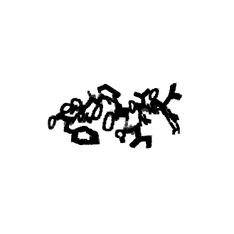 C=C(CC)[C@@H]([C@@H](CC(=O)N1CCC[C@H]1[C@H](OC)[C@@H](C)C(=O)N[C@@H](Cc1ccccc1)C(=O)O)OC)N(C)C(=O)[C@@H](NC(=O)[C@@H](NC)C(C)C)C(C)C